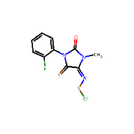 CN1C(=O)N(c2ccccc2F)C(=S)C1=NSCl